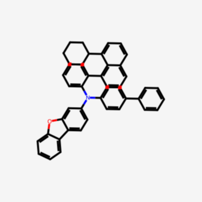 c1ccc(-c2ccc(N(c3ccc4c(c3)oc3ccccc34)c3ccccc3-c3cccc4cccc(C5CCCCC5)c34)cc2)cc1